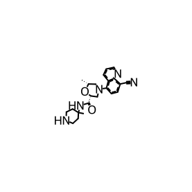 C[C@@H]1CN(c2ccc(C#N)c3ncccc23)C[C@H](C(=O)NC2(C)CCNCC2)O1